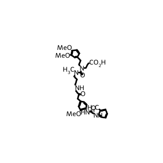 COc1cc(CC(=O)CNCCCN(C)C(=O)N(CCC(=O)O)CCc2ccc(OC)c(OC)c2)ccc1NC(=O)Nc1ccccc1C